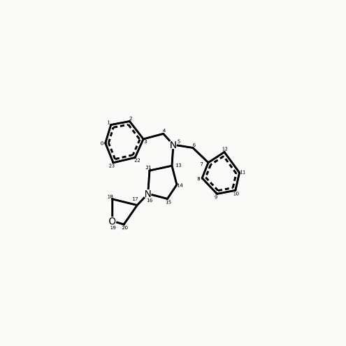 c1ccc(CN(Cc2ccccc2)C2CCN(C3COC3)C2)cc1